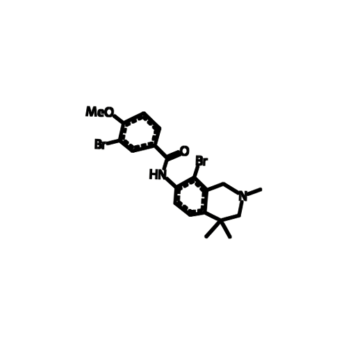 COc1ccc(C(=O)Nc2ccc3c(c2Br)CN(C)CC3(C)C)cc1Br